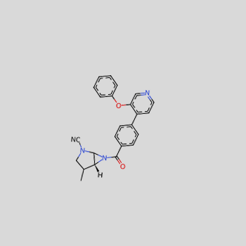 CC1CN(C#N)C2[C@@H]1N2C(=O)c1ccc(-c2ccncc2Oc2ccccc2)cc1